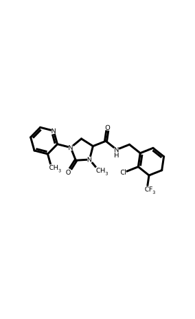 Cc1cccnc1N1CC(C(=O)NCC2=C(Cl)C(C(F)(F)F)CC=C2)N(C)C1=O